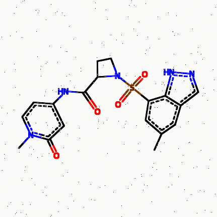 Cc1cc(S(=O)(=O)N2CCC2C(=O)Nc2ccn(C)c(=O)c2)c2[nH]ncc2c1